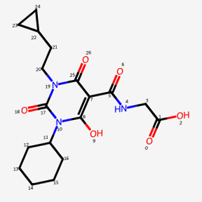 O=C(O)CNC(=O)c1c(O)n(C2CCCCC2)c(=O)n(CCC2CC2)c1=O